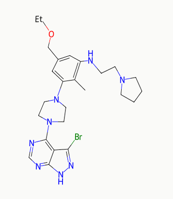 CCOCc1cc(NCCN2CCCC2)c(C)c(N2CCN(c3ncnc4[nH]nc(Br)c34)CC2)c1